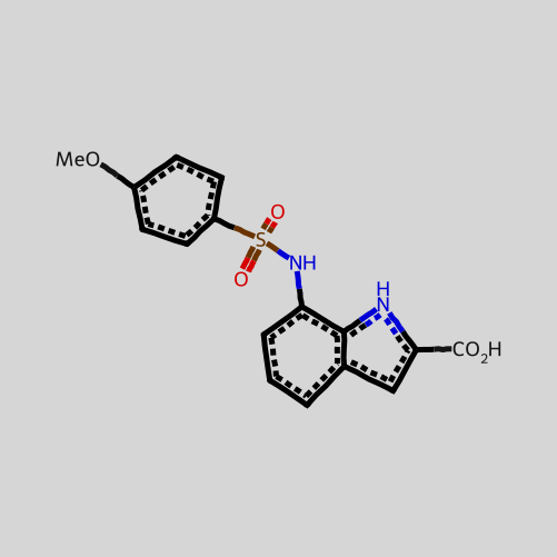 COc1ccc(S(=O)(=O)Nc2cccc3cc(C(=O)O)[nH]c23)cc1